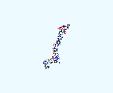 C[C@@H](C(=O)Nc1cccc(OC2CCN(C(=O)CN3CCC(N4CCN(c5ccc6c(c5)C(=O)N(C5CCC(=O)NC5=O)C6O)CC4)CC3)CC2)c1)[C@H]1CC[C@@H](c2ccnc3ccc(F)cc32)CC1